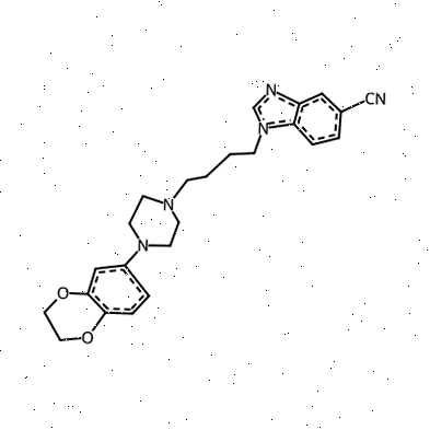 N#Cc1ccc2c(c1)ncn2CCCCN1CCN(c2ccc3c(c2)OCCO3)CC1